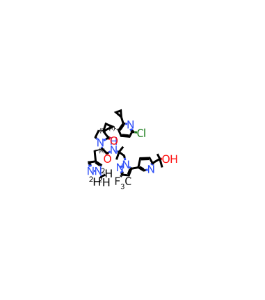 [2H]C([2H])([2H])n1cc(C[C@H](C(=O)NC(C)(C)Cn2nc(C(F)(F)F)cc2-c2ccc(C(C)(C)O)nc2)N2CC[C@@]3(C[C@@H]3c3ccc(Cl)nc3C3CC3)C2=O)cn1